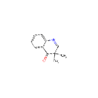 CC1(C)C=Nc2ccccc2C1=O